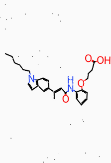 CCCCCCn1ccc2cc(C(C)=CC(=O)Nc3ccccc3OCCCC(=O)O)ccc21